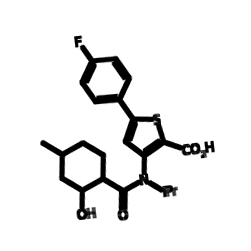 CC1CCC(C(=O)N(c2cc(-c3ccc(F)cc3)sc2C(=O)O)C(C)C)C(O)C1